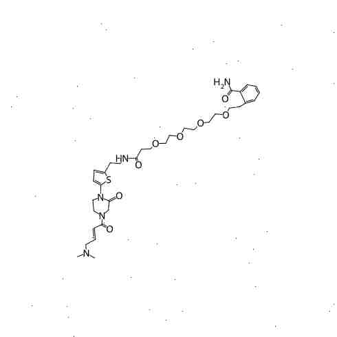 CN(C)CC=CC(=O)N1CCN(c2ccc(CCNC(=O)CCOCCOCCOCCOCCc3ccccc3C(N)=O)s2)C(=O)C1